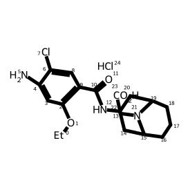 CCOc1cc(N)c(Cl)cc1C(=O)NC1CC2CCCC(C1)N2CC(=O)O.Cl